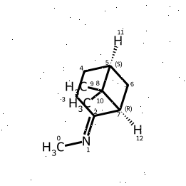 CN=C1CC[C@H]2C[C@@H]1C2(C)C